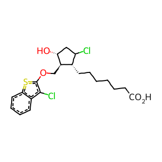 O=C(O)CCCCCC[C@H]1C(Cl)C[C@@H](O)[C@@H]1COc1sc2ccccc2c1Cl